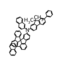 CC1(C)c2cc(-c3ccccc3)ccc2-c2ccc(N(c3ccc4c(c3)C3(c5ccccc5-c5ccccc53)c3c-4cccc3-c3cccc4ccccc34)c3ccc4ccccc4c3)cc21